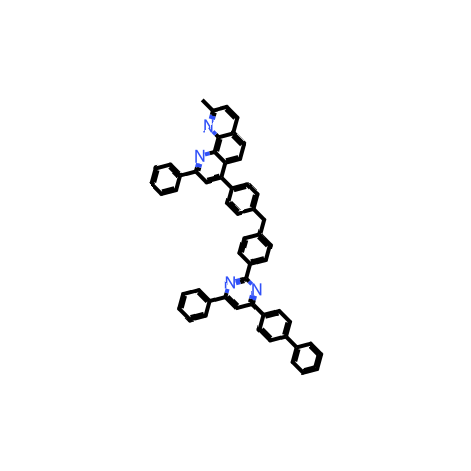 Cc1ccc2ccc3c(-c4ccc(Cc5ccc(-c6nc(-c7ccccc7)cc(-c7ccc(C8=CC=C=C=C8)cc7)n6)cc5)cc4)cc(-c4ccccc4)nc3c2n1